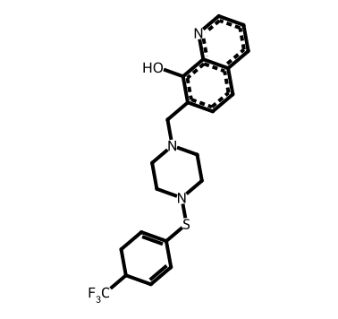 Oc1c(CN2CCN(SC3=CCC(C(F)(F)F)C=C3)CC2)ccc2cccnc12